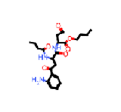 CCCCOC(=O)C(CC=O)NC(=O)C(CC(=O)c1ccccc1N)NC(=O)CCC